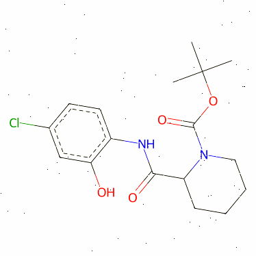 CC(C)(C)OC(=O)N1CCCCC1C(=O)Nc1ccc(Cl)cc1O